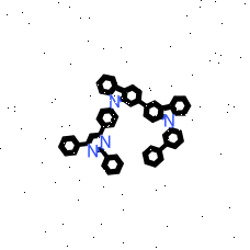 c1ccc(-c2cccc(-n3c4ccccc4c4cc(-c5ccc6c7ccccc7n(-c7ccc(-c8cc(-c9ccccc9)nc(-c9ccccc9)n8)cc7)c6c5)ccc43)c2)cc1